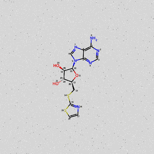 Nc1ncnc2c1ncn2[C@H]1O[C@@H](CSc2nccs2)[C@H](O)[C@H]1O